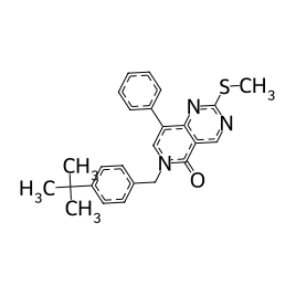 CSc1ncc2c(=O)n(Cc3ccc(C(C)(C)C)cc3)cc(-c3ccccc3)c2n1